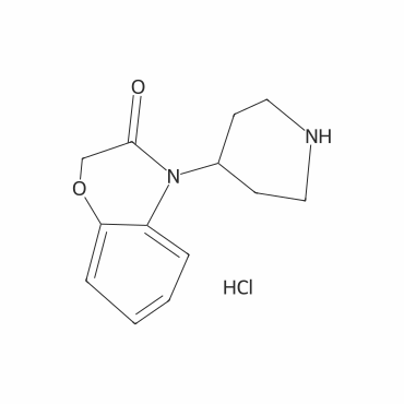 Cl.O=C1COc2ccccc2N1C1CCNCC1